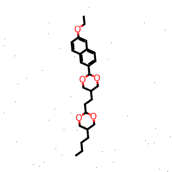 CCCCC1COC(CCC2COC(c3ccc4cc(OCC)ccc4c3)OC2)OC1